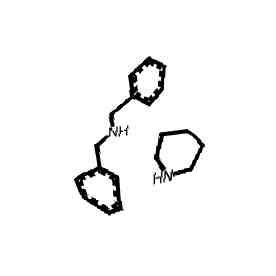 C1CCNCC1.c1ccc(CNCc2ccccc2)cc1